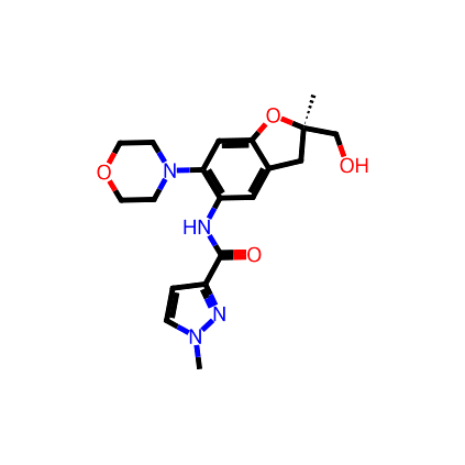 Cn1ccc(C(=O)Nc2cc3c(cc2N2CCOCC2)O[C@@](C)(CO)C3)n1